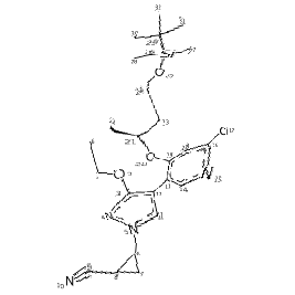 CCOc1nn(C2CC2C#N)cc1-c1cnc(Cl)cc1O[C@@H](C)CCO[Si](C)(C)C(C)(C)C